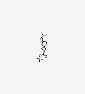 CC(C)(C)OC(=O)N1CC2(C[C@@H](OC(F)F)CO2)C1